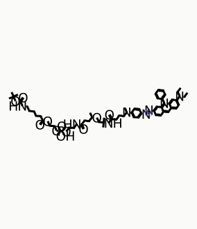 CCN(CC)c1ccc2cc3ccc(/N=N/c4ccc(N(C)CCCC(=O)NC(C)(C)COC(C)CCC(=O)NCCOP(=O)(O)OCCOC(=O)CCCCCNC(=O)OC(C)(C)C)cc4)cc3[n+](-c3ccccc3)c2c1